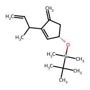 C=CC(C)C1=C[C@@H](O[Si](C)(C)C(C)(C)C)CC1=C